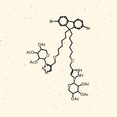 CC(=O)OC1COC(N2C=C(COCCCCCCC3(CCCCCCOCc4cnnn4C4OCC(OC(C)=O)C(OC(C)=O)C4OC(C)=O)c4cc(Br)ccc4-c4ccc(Br)cc43)NN2)C(OC(C)=O)C1OC(C)=O